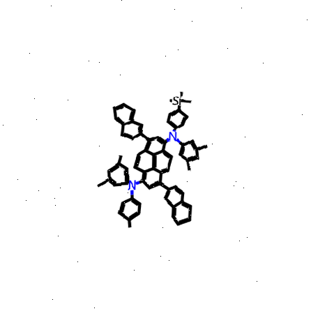 Cc1ccc(N(c2cc(C)cc(C)c2)c2cc(-c3ccc4ccccc4c3)c3ccc4c(N(c5ccc([Si](C)(C)C)cc5)c5cc(C)cc(C)c5)cc(-c5ccc6ccccc6c5)c5ccc2c3c54)cc1